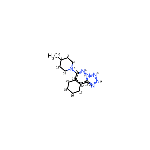 CC1CCN(c2nn3nnnc3c3c2CCCC3)CC1